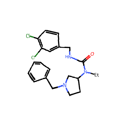 CCN(C(=O)NCc1ccc(Cl)c(Cl)c1)C1CCN(Cc2ccccc2)C1